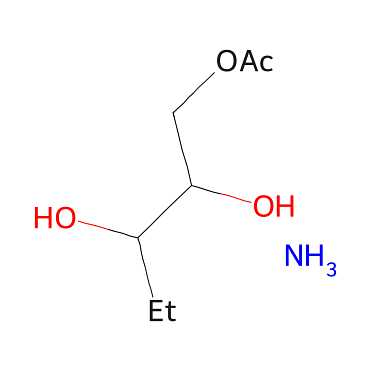 CCC(O)C(O)COC(C)=O.N